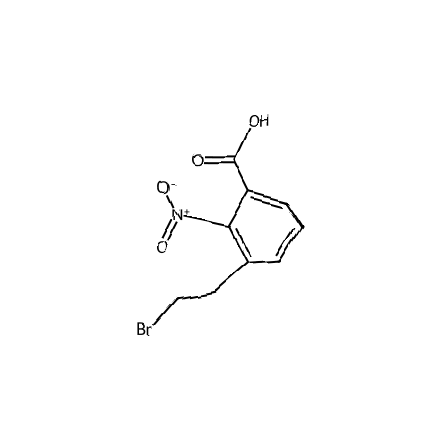 O=C(O)c1cccc(CCBr)c1[N+](=O)[O-]